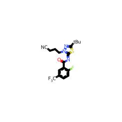 CC(C)(C)c1nn(CCCC#N)c(=NC(=O)c2cc(C(F)(F)F)ccc2F)s1